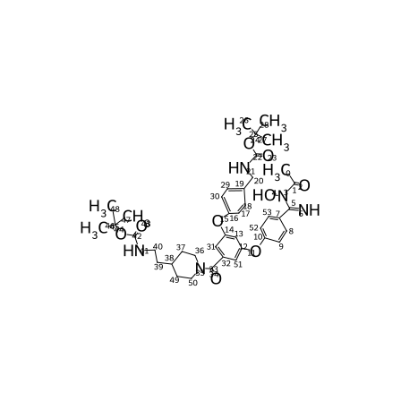 CC(=O)N(O)C(=N)c1ccc(Oc2cc(Oc3ccc(CNC(=O)OC(C)(C)C)cc3)cc(C(=O)N3CCC(CCNC(=O)OC(C)(C)C)CC3)c2)cc1